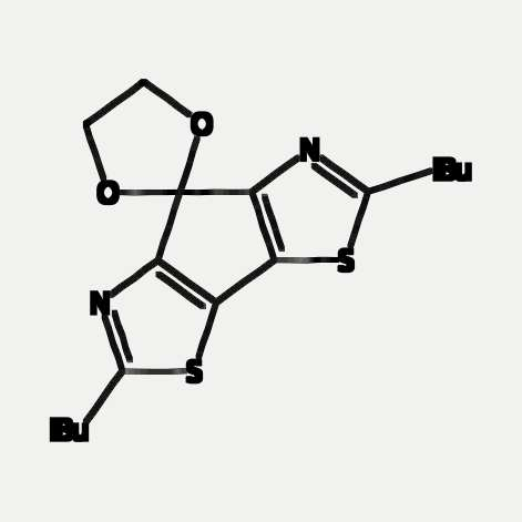 CCC(C)c1nc2c(s1)-c1sc(C(C)CC)nc1C21OCCO1